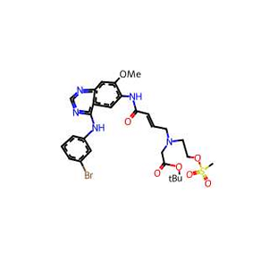 COc1cc2ncnc(Nc3cccc(Br)c3)c2cc1NC(=O)C=CCN(CCOS(C)(=O)=O)CC(=O)OC(C)(C)C